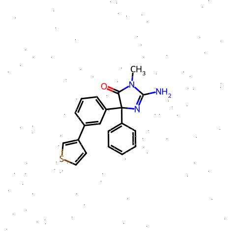 CN1C(=O)C(c2ccccc2)(c2cccc(-c3ccsc3)c2)N=C1N